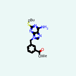 CCCCSc1nc(N)c2ncn(Cc3cccc(C(=O)OC)c3)c2n1